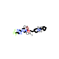 [2H]C([2H])(c1ccccc1)N1CCC(CCOC(=O)N2[C@H](C)CN(c3cnc(C(F)(F)F)cn3)C[C@H]2C)CC1